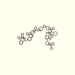 O=C(N[C@@H](C(=O)N1CCC(OC2CCN(CC(=O)N3CCN(C(=O)c4cc(Cc5n[nH]c(=O)c6ccccc56)ccc4F)CC3)CC2)CC1)C1CCCCC1)c1cccc(C2CCCN(C(=O)C3CCC3)C2)c1F